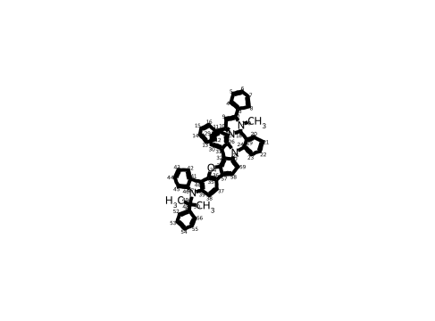 CN1C(c2ccccc2)=CC(c2ccccc2)=NC1c1ccccc1-n1c2ccccc2c2c3oc4c(ccc5c4c4ccccc4n5C(C)(C)c4ccccc4)c3ccc21